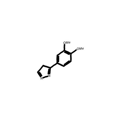 COc1ccc(C2=NN=CC2)cc1OC